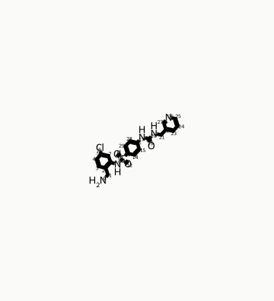 NCc1ccc(Cl)cc1NS(=O)(=O)c1ccc(NC(=O)NCc2cccnc2)cc1